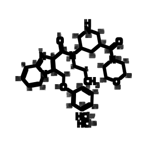 CCCN(C(=O)c1nc2ccccn2c1COc1ccccc1)C1CNCC(C(=O)N2CCOCC2)C1.Cl.Cl